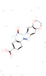 O=C(O)c1ccc2c(c1)[nH]c(=O)n1c3cc4c(cc3nc21)OCCO4